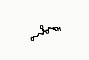 C#CCOC(=O)CCCC=O